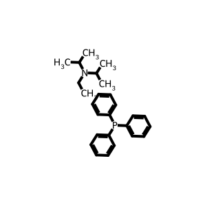 CCN(C(C)C)C(C)C.c1ccc(P(c2ccccc2)c2ccccc2)cc1